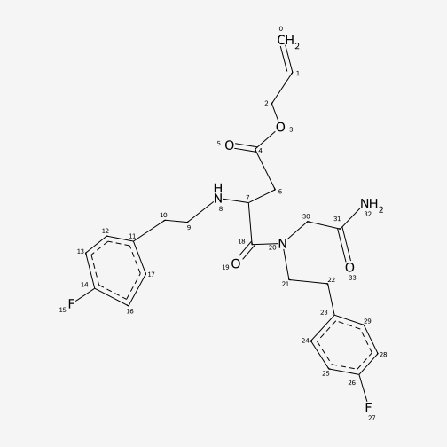 C=CCOC(=O)CC(NCCc1ccc(F)cc1)C(=O)N(CCc1ccc(F)cc1)CC(N)=O